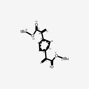 C=C(C(=O)OC(C)(C)C)c1ccc(C(=C)C(=O)OC(C)(C)C)cc1